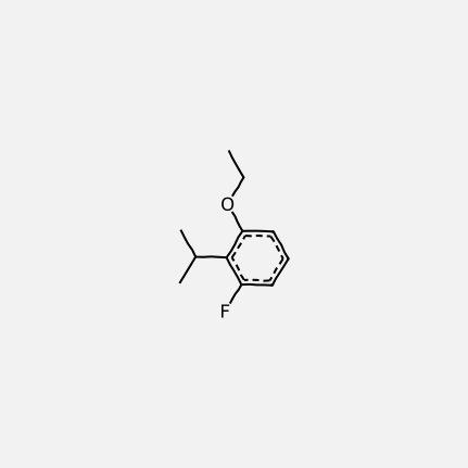 CCOc1cccc(F)c1C(C)C